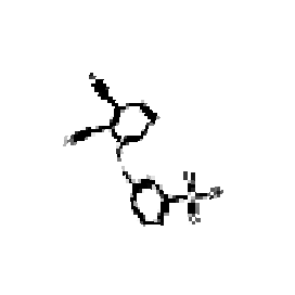 N#Cc1cccc(Sc2cccc(S(=O)(=O)O)c2)c1C#N